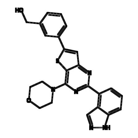 OCc1cccc(-c2cc3nc(-c4cccc5[nH]ncc45)nc(N4CCOCC4)c3s2)c1